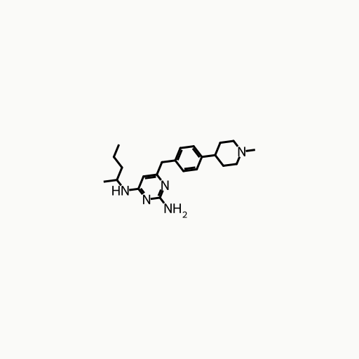 CCCC(C)Nc1cc(Cc2ccc(C3CCN(C)CC3)cc2)nc(N)n1